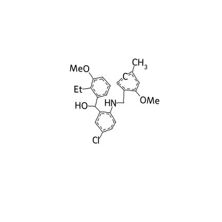 CCc1c(OC)cccc1C(O)c1cc(Cl)ccc1NCc1ccc(C)cc1OC